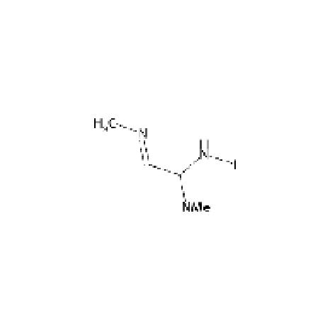 C/N=C/C(NC)NI